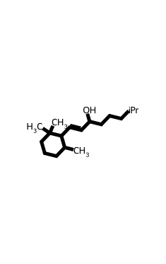 CC(C)CCCC(O)C=CC1C(C)CCCC1(C)C